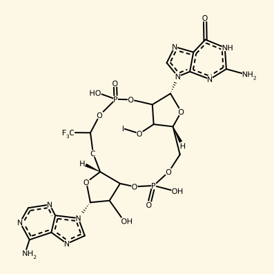 Nc1nc2c(ncn2[C@@H]2O[C@@H]3COP(=O)(O)OC4C(O)[C@H](n5cnc6c(N)ncnc65)O[C@@H]4CC(C(F)(F)F)OP(=O)(O)OC2C3OI)c(=O)[nH]1